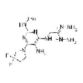 CC(C)(C)Nc1nc(NC/C(=N/N)NN)c(N)c(N2CCC(F)(F)C2)n1